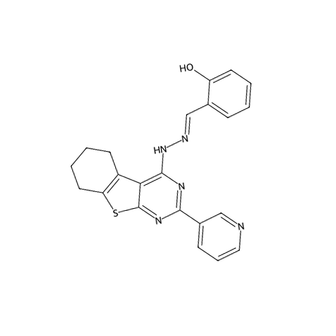 Oc1ccccc1/C=N/Nc1nc(-c2cccnc2)nc2sc3c(c12)CCCC3